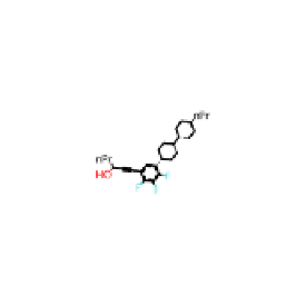 CCCC(O)C#Cc1cc([C@H]2CC[C@H]([C@H]3CC[C@H](CCC)CC3)CC2)c(F)c(F)c1F